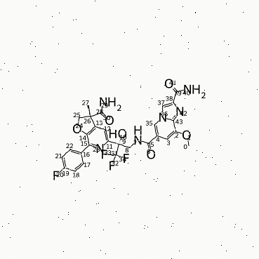 COc1cc(C(=O)NC[C@](O)(c2cc3c(c(-c4ccc(F)cc4)n2)OC[C@]3(C)C(N)=O)C(F)(F)F)cn2cc(C(N)=O)nc12